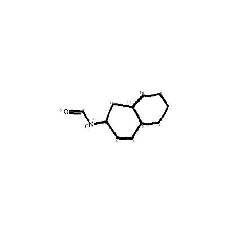 O=CNC1CCC2CCCCC2C1